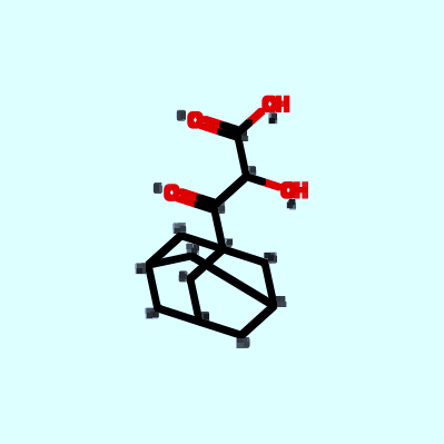 O=C(O)C(O)C(=O)C12CC3CC(CC(C3)C1)C2